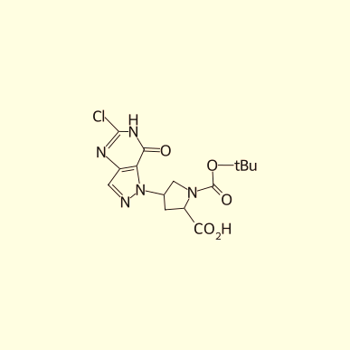 CC(C)(C)OC(=O)N1CC(n2ncc3nc(Cl)[nH]c(=O)c32)CC1C(=O)O